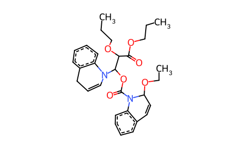 CCCOC(=O)C(OCCC)C(OC(=O)N1c2ccccc2C=CC1OCC)N1C=CCc2ccccc21